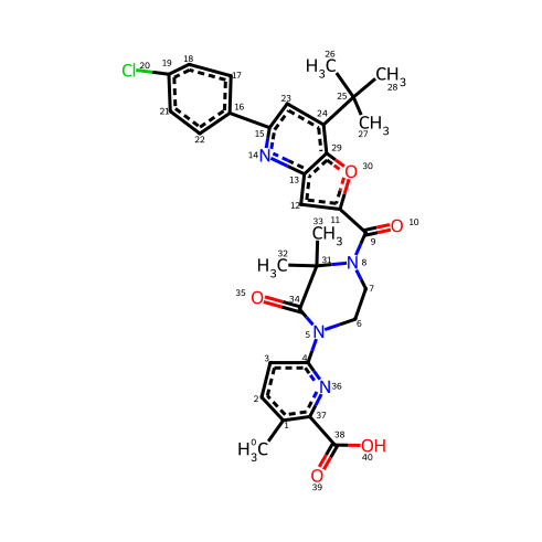 Cc1ccc(N2CCN(C(=O)c3cc4nc(-c5ccc(Cl)cc5)cc(C(C)(C)C)c4o3)C(C)(C)C2=O)nc1C(=O)O